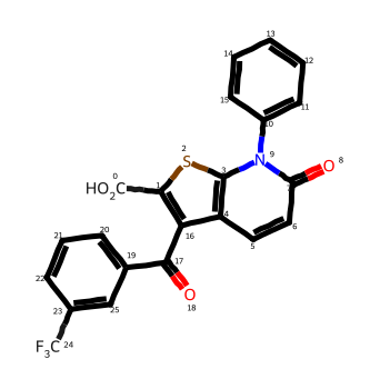 O=C(O)c1sc2c(ccc(=O)n2-c2ccccc2)c1C(=O)c1cccc(C(F)(F)F)c1